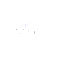 Cn1nc2ccccc2c1C(=O)Oc1cncc(Cl)c1